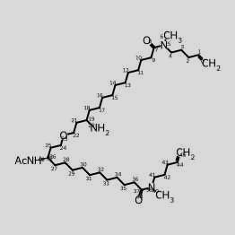 C=CCCCN(C)C(=O)CCCCCCCCCCC(N)CCOCC[C@@H](CCCCCCCCCCC(=O)N(C)CCCC=C)NC(C)=O